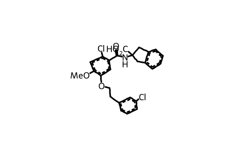 COc1cc(Cl)c(C(=O)NC2(C(=O)O)Cc3ccccc3C2)cc1OCCc1cccc(Cl)c1